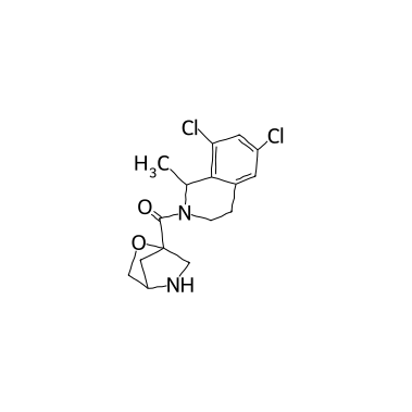 CC1c2c(Cl)cc(Cl)cc2CCN1C(=O)C12CNC(CO1)C2